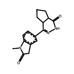 CN1C(=O)Cc2cc(C3=NNC(=O)C4CCCC34)ccc21